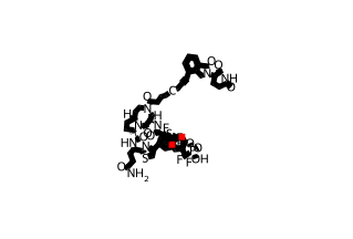 NC(=O)CCC(NC(=O)[C@@H]1CC[C@@H]2CCN(C(=O)CCCCCC#Cc3cccc4c3CN(C3CCC(=O)NC3=O)C4=O)C[C@H](NC(=O)c3cc4cc(C(F)(F)P(=O)(O)O)ccc4s3)C(=O)N21)c1nc(-c2ccc(F)c(F)c2)cs1